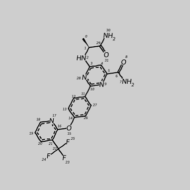 C[C@H](Nc1cc(C(N)=O)nc(-c2ccc(Oc3ncccc3C(F)(F)F)cc2)n1)C(N)=O